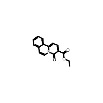 CCOC(=O)c1ccc2c3ccccc3ccn2c1=O